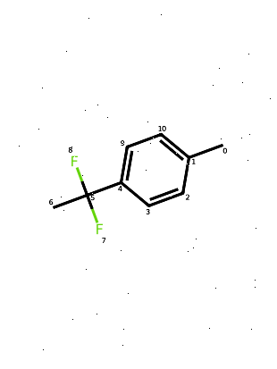 Cc1ccc(C(C)(F)F)cc1